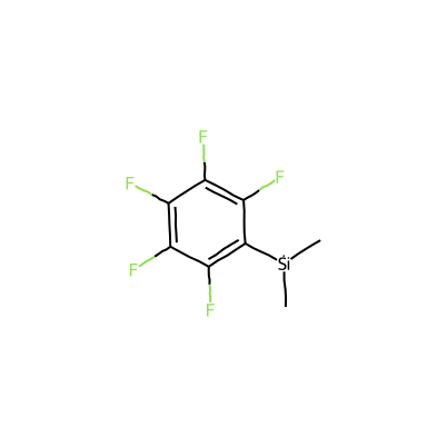 C[Si](C)c1c(F)c(F)c(F)c(F)c1F